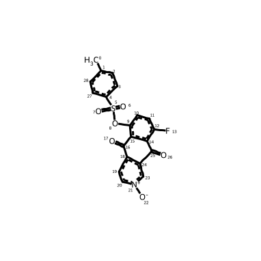 Cc1ccc(S(=O)(=O)Oc2ccc(F)c3c2C(=O)c2cc[n+]([O-])cc2C3=O)cc1